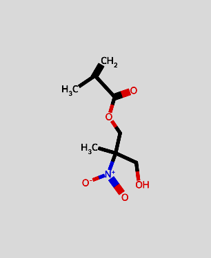 C=C(C)C(=O)OCC(C)(CO)[N+](=O)[O-]